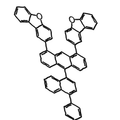 c1ccc(-c2ccc(-c3c4cccc(-c5ccc6oc7ccccc7c6c5)c4cc4c(-c5ccc6oc7ccccc7c6c5)cccc34)c3ccccc23)cc1